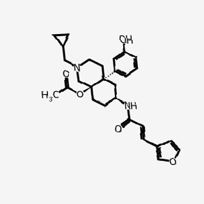 CC(=O)O[C@]12CC[C@H](NC(=O)C=Cc3ccoc3)C[C@]1(c1cccc(O)c1)CCN(CC1CC1)C2